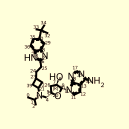 CC(C)N(C[C@@H]1C[C@@H](O)[C@H](n2ccc3c(N)ncnc32)O1)C1CC(CCc2nc3cc(C(C)(C)C)ccc3[nH]2)C1